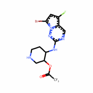 O=C(OC1CNCCC1Nc1ncc2c(F)cc(Br)n2n1)C(F)(F)F